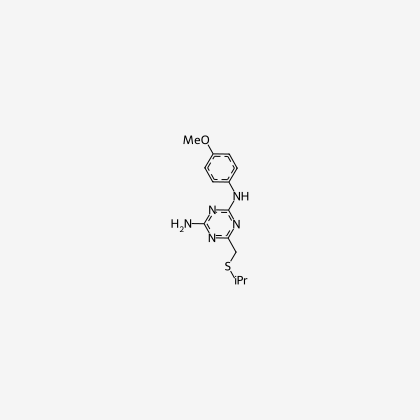 COc1ccc(Nc2nc(N)nc(CSC(C)C)n2)cc1